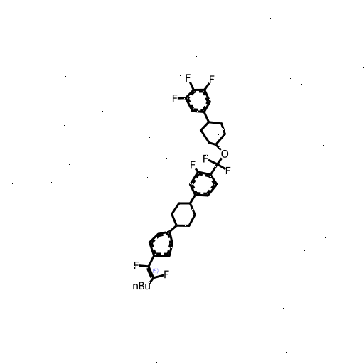 CCCC/C(F)=C(\F)c1ccc(C2CCC(c3ccc(C(F)(F)OC4CCC(c5cc(F)c(F)c(F)c5)CC4)c(F)c3)CC2)cc1